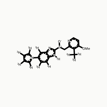 [2H]c1c(-n2c([2H])c([2H])c([2H])c2[2H])c([2H])c2nc([S+]([O-])Cc3nccc(OC)c3C([2H])([2H])[2H])n([2H])c2c1[2H]